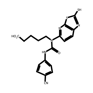 N#Cc1ccc(NC(=O)N(CCCCC(=O)O)c2ccc3nc(S)sc3n2)cc1